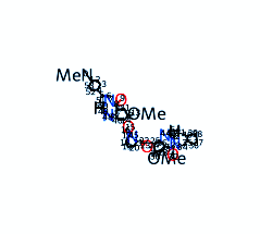 CNc1ccc(C2=CN3C(=O)c4cc(OC)c(OCc5cccc(COc6cc7c(cc6OC)C(=O)N6Cc8ccccc8C[C@H]6C=N7)n5)cc4N=C[C@@H]3C2)cc1